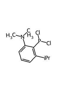 CC(C)c1cccc(N(C)C)c1P(Cl)Cl